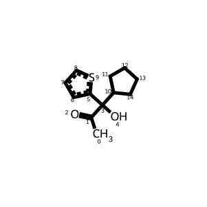 CC(=O)C(O)(c1cccs1)C1CCCC1